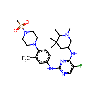 CC1N(C)CC(Nc2nc(Nc3ccc(N4CCN(S(C)(=O)=O)CC4)c(C(F)(F)F)c3)ncc2F)CC1(C)C